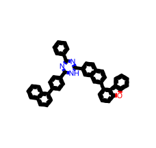 c1ccc(C2=NC(c3ccc(-c4cccc5ccccc45)cc3)NC(c3ccc4ccc(-c5cccc6oc7ccccc7c56)cc4c3)=N2)cc1